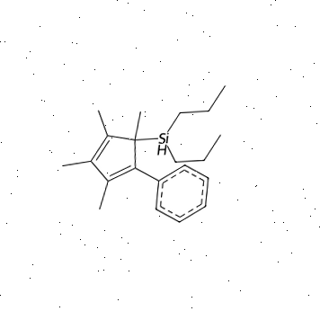 CCC[SiH](CCC)C1(C)C(C)=C(C)C(C)=C1c1ccccc1